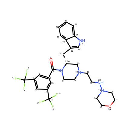 O=C(c1cc(C(F)(F)F)cc(C(F)(F)F)c1)N1CCN(CCNN2CCOCC2)C[C@H]1Cc1c[nH]c2ccccc12